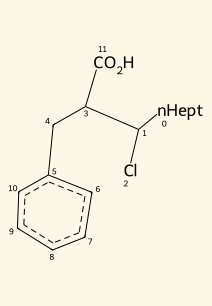 CCCCCCCC(Cl)C(Cc1ccccc1)C(=O)O